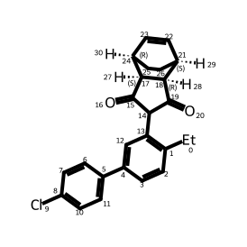 CCc1ccc(-c2ccc(Cl)cc2)cc1C1C(=O)[C@@H]2[C@H](C1=O)[C@@H]1C=C[C@H]2CC1